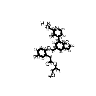 COCC(C)OC(=O)Cc1cc(F)ccc1OCc1cc(-c2ccnc(CN)c2F)c2occc2c1